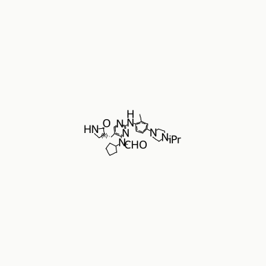 Cc1cc(N2CCN(C(C)C)CC2)ccc1Nc1ncc(C[C@@H]2CCNC2=O)c(N(C=O)C2CCCC2)n1